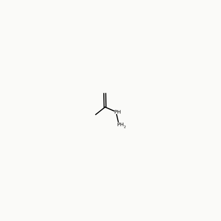 C=C(C)PP